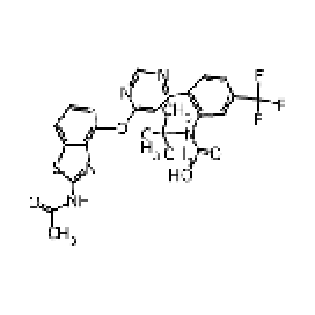 CC(=O)Nc1nc2c(Oc3cc(-c4ccc(C(F)(F)F)cc4N(C(=O)O)C(C)(C)C)ncn3)cccc2s1